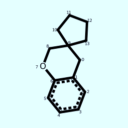 [CH]1c2ccccc2OCC12CCCC2